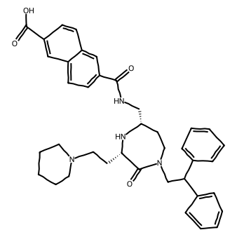 O=C(O)c1ccc2cc(C(=O)NC[C@@H]3CCN(CC(c4ccccc4)c4ccccc4)C(=O)[C@H](CCN4CCCCC4)N3)ccc2c1